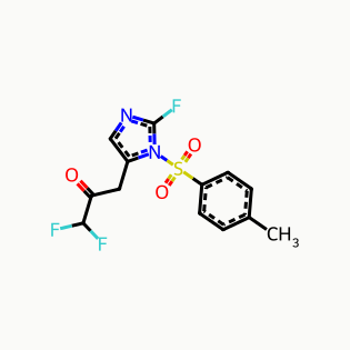 Cc1ccc(S(=O)(=O)n2c(CC(=O)C(F)F)cnc2F)cc1